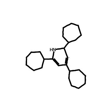 [C]1=C(C2CCCCCC2)C=C(C2CCCCCC2)NC1C1CCCCCC1